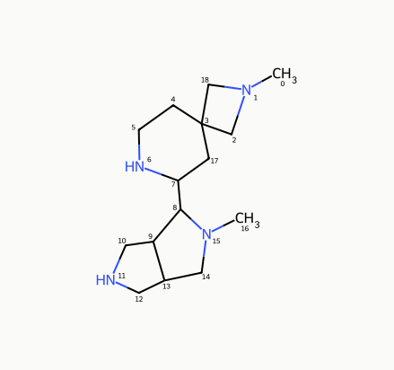 CN1CC2(CCNC(C3C4CNCC4CN3C)C2)C1